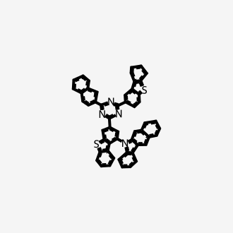 c1ccc2cc(-c3nc(-c4cc(-n5c6ccccc6c6cc7ccccc7cc65)c5c(c4)sc4ccccc45)nc(-c4ccc5sc6ccccc6c5c4)n3)ccc2c1